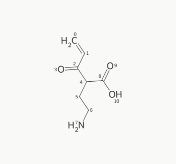 C=CC(=O)C(CCN)C(=O)O